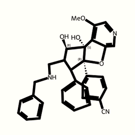 COc1cncc2c1[C@]1(O)[C@H](O)C(CNCc3ccccc3)C(c3ccccc3)[C@]1(c1ccc(C#N)cc1)O2